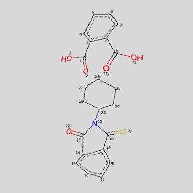 O=C(O)c1ccccc1C(=O)O.O=C1c2ccccc2C(=S)N1C1CCCCC1